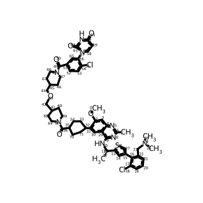 COc1cc2nc(C)nc(N[C@H](C)c3cc(-c4c(Cl)cccc4CN(C)C)cs3)c2cc1C1CCC(C(=O)N2CCC(COCC3CCN(C(=O)c4ccc(Cl)c(-n5ccc(=O)[nH]c5=O)c4)CC3)CC2)CC1